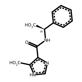 O=C(N[C@@H](C(=O)O)c1ccccc1)c1nc[nH]c1C(=O)O